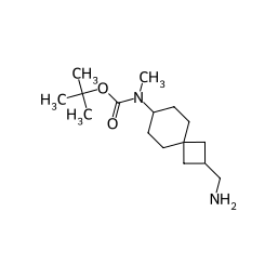 CN(C(=O)OC(C)(C)C)C1CCC2(CC1)CC(CN)C2